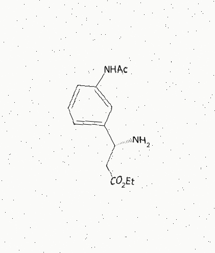 CCOC(=O)C[C@@H](N)c1cccc(NC(C)=O)c1